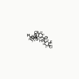 C[C@@]1(O)C2CC(S(=O)(=O)c3cc(C(=O)Nc4ccc(Cl)c(F)c4)ccc3Cl)C[C@@H]1C2